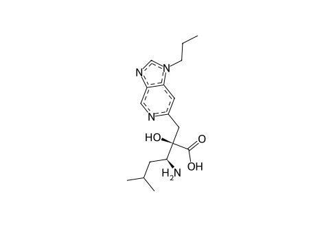 CCCn1cnc2cnc(C[C@](O)(C(=O)O)[C@@H](N)CC(C)C)cc21